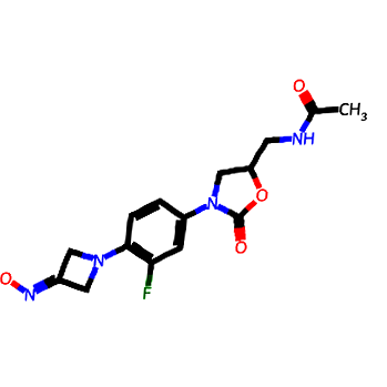 CC(=O)NCC1CN(c2ccc(N3CC(=NO)C3)c(F)c2)C(=O)O1